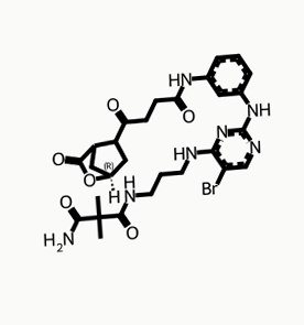 CC(C)(C(N)=O)C(=O)NCCCNc1nc(Nc2cccc(NC(=O)CCC(=O)C3C[C@@H]4CC3C(=O)O4)c2)ncc1Br